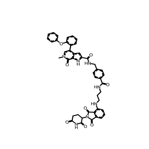 Cn1cc(-c2ccccc2Oc2ccccc2)c2cc(C(=O)NCc3ccc(C(=O)NCCCNc4cccc5c4C(=O)N(C4CCC(=O)NC4=O)C5=O)cc3)[nH]c2c1=O